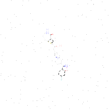 O=C1NCCCc2sc(C(O)CCCN3CCC(c4noc5cc(F)ccc45)CC3)cc21